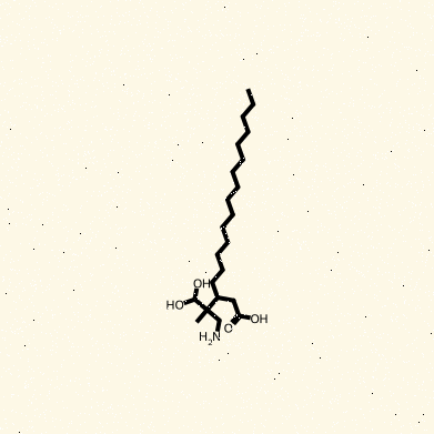 CCCCCCCCCCCCCCCC(CC(=O)O)C(C)(CN)C(O)O